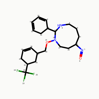 O=NC1CCCNC(C2C=CC=CC2)N(OCC2C=CCC(C(F)(F)F)C2)CC1